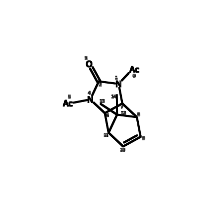 CC(=O)N1C(=O)N(C(C)=O)C2C1C1C=CC2C1(C)C